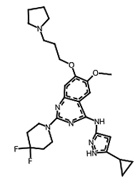 COc1cc2c(Nc3cc(C4CC4)[nH]n3)nc(N3CCC(F)(F)CC3)nc2cc1OCCCN1CCCC1